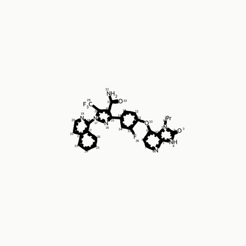 CC(C)n1c(=O)[nH]c2nccc(Oc3ccc(-c4nn(-c5nccc6ccccc56)c(C(F)(F)F)c4C(N)=O)cc3F)c21